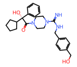 N=C(NCc1ccc(CO)cc1)N1CCN(C(=O)[C@](O)(c2ccccc2)C2CCCC2)CC1